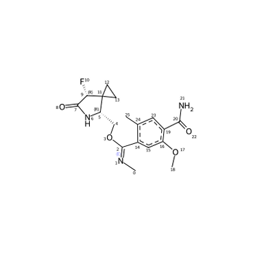 C/N=C(/OC[C@@H]1NC(=O)[C@H](F)C12CC2)c1cc(OC)c(C(N)=O)cc1C